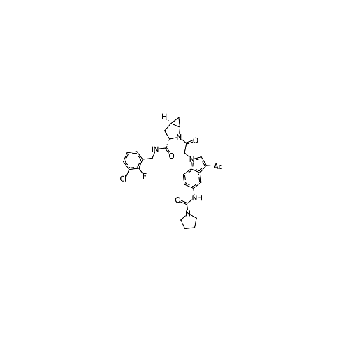 CC(=O)c1cn(CC(=O)N2C3C[C@@H]3C[C@H]2C(=O)NCc2cccc(Cl)c2F)c2ccc(NC(=O)N3CCCC3)cc12